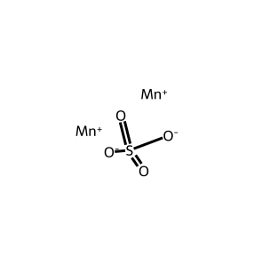 O=S(=O)([O-])[O-].[Mn+].[Mn+]